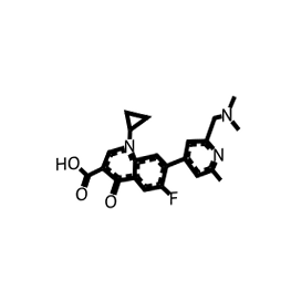 Cc1cc(-c2cc3c(cc2F)c(=O)c(C(=O)O)cn3C2CC2)cc(CN(C)C)n1